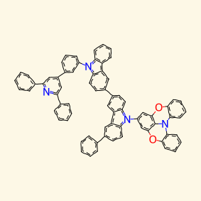 c1ccc(-c2ccc3c(c2)c2cc(-c4ccc5c(c4)c4ccccc4n5-c4cccc(-c5cc(-c6ccccc6)nc(-c6ccccc6)c5)c4)ccc2n3-c2cc3c4c(c2)Oc2ccccc2N4c2ccccc2O3)cc1